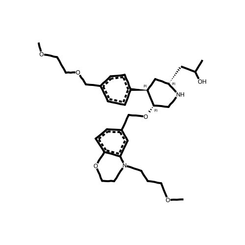 COCCCN1CCOc2ccc(CO[C@H]3CN[C@@H](CC(C)O)C[C@@H]3c3ccc(COCCOC)cc3)cc21